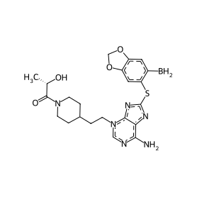 Bc1cc2c(cc1Sc1nc3c(N)ncn(CCC4CCN(C(=O)[C@H](C)O)CC4)c-3n1)OCO2